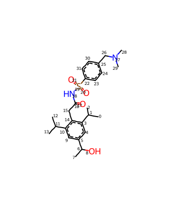 CC(C)c1cc(C(C)O)cc(C(C)C)c1CC(=O)NS(=O)(=O)c1ccc(CN(C)C)cc1